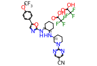 N#Cc1cnc(N2CCC[C@H](N[C@@H]3CCCC[C@H]3Nc3ncc(-c4ccc(OC(F)(F)F)cc4)o3)C2)nc1.O=C(O)C(F)(F)F.O=C(O)C(F)(F)F